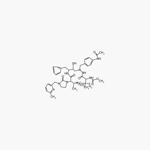 CCC(C)C(C(=O)NC(Cc1ccccc1)C(O)CN(Cc1ccc(NC(C)=O)cc1)NC(=O)C(NC(=O)OC)C(C)(C)C)N1CCN(Cc2cccc(C)n2)C1=O